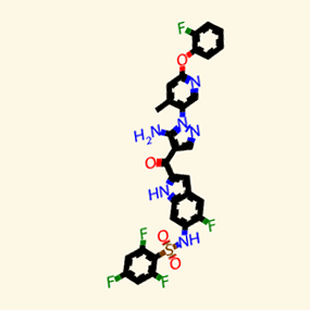 Cc1cc(Oc2ccccc2F)ncc1-n1ncc(C(=O)c2cc3cc(F)c(NS(=O)(=O)c4c(F)cc(F)cc4F)cc3[nH]2)c1N